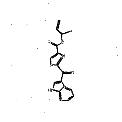 C=CC(C)OC(=O)c1csc(C(=O)c2c[nH]c3ccccc23)n1